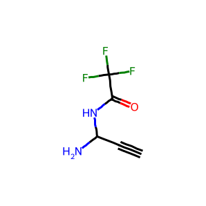 C#CC(N)NC(=O)C(F)(F)F